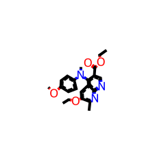 CCOC(=O)c1cnc2nc(C)c(OCC)cc2c1N(C)c1ccc(OC)cc1